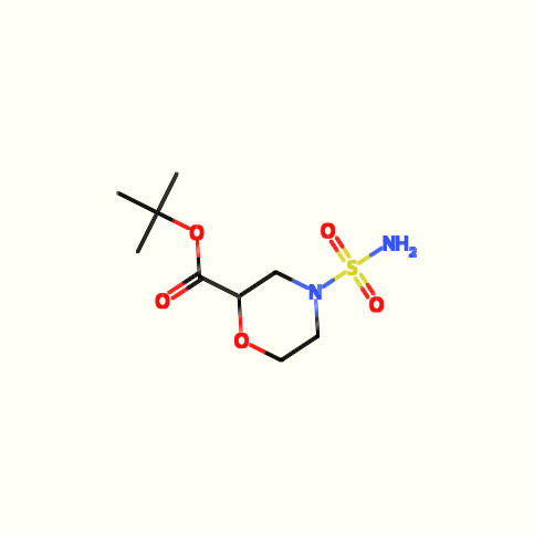 CC(C)(C)OC(=O)C1CN(S(N)(=O)=O)CCO1